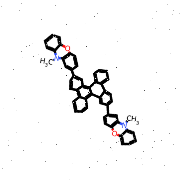 CN1c2ccccc2Oc2ccc(-c3ccc4c5ccccc5c5c6cc(-c7ccc8c(c7)N(C)c7ccccc7O8)ccc6c6ccccc6c5c4c3)cc21